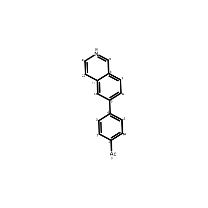 CC(=O)c1ccc(-c2ccc3cnccc3c2)cc1